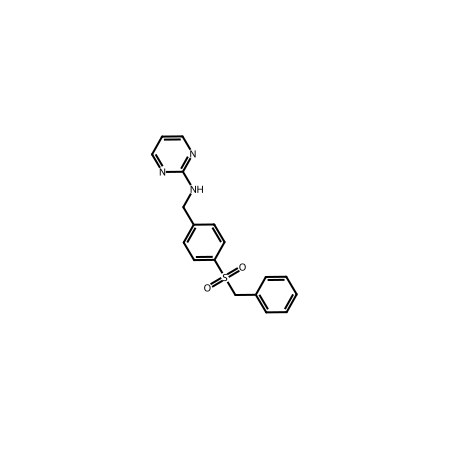 O=S(=O)(Cc1ccccc1)c1ccc(CNc2ncccn2)cc1